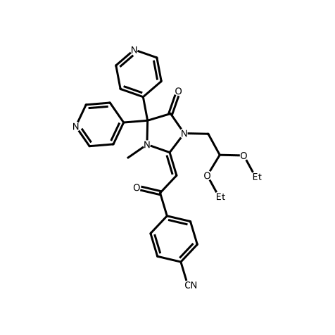 CCOC(CN1C(=O)C(c2ccncc2)(c2ccncc2)N(C)C1=CC(=O)c1ccc(C#N)cc1)OCC